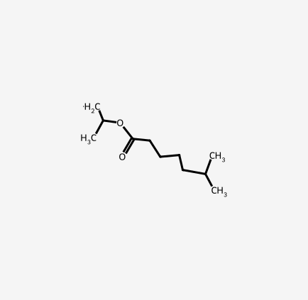 [CH2]C(C)OC(=O)CCCCC(C)C